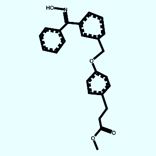 COC(=O)CCc1ccc(OCc2cccc(/C(=N/O)c3ccccc3)c2)cc1